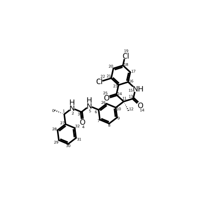 C[C@H](NC(=O)Nc1cccc([C@]2(C)C(=O)Nc3cc(Cl)cc(Cl)c3C2=O)c1)c1ccccc1